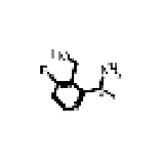 C[C@H](N)c1cccc(F)c1CO